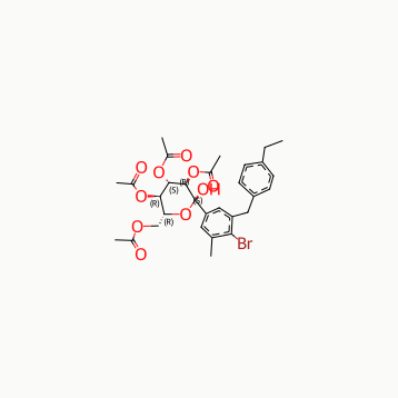 CCc1ccc(Cc2cc([C@]3(O)O[C@H](COC(C)=O)[C@@H](OC(C)=O)[C@H](OC(C)=O)[C@H]3OC(C)=O)cc(C)c2Br)cc1